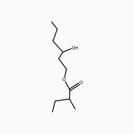 CCCC(O)CCOC(=O)C(C)CC